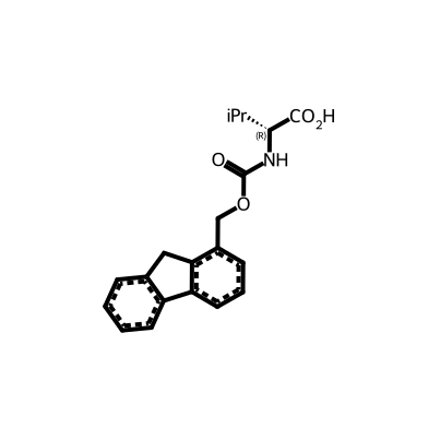 CC(C)[C@@H](NC(=O)OCc1cccc2c1Cc1ccccc1-2)C(=O)O